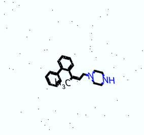 CC(=CCN1CCNCC1)c1ccccc1-c1ccccc1